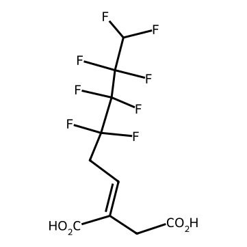 O=C(O)CC(=CCC(F)(F)C(F)(F)C(F)(F)C(F)F)C(=O)O